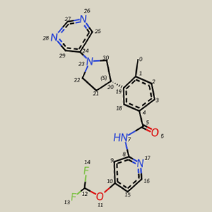 Cc1ccc(C(=O)Nc2cc(OC(F)F)ccn2)cc1[C@@H]1CCN(c2cncnc2)C1